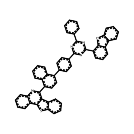 c1ccc(-c2nc(-c3ccc(-c4ccc(-c5nc6ccccc6c6sc7ccccc7c56)c5ccccc45)cc3)nc(-c3cccc4c3oc3ccccc34)n2)cc1